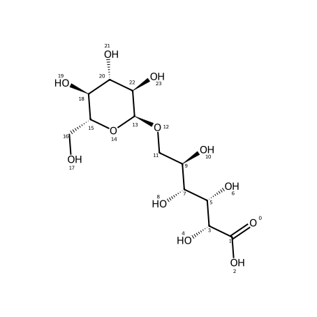 O=C(O)[C@H](O)[C@@H](O)[C@H](O)[C@H](O)CO[C@H]1O[C@H](CO)[C@@H](O)[C@H](O)[C@H]1O